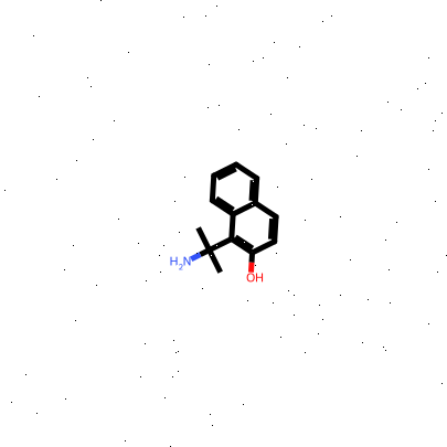 CC(C)(N)c1c(O)ccc2ccccc12